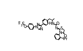 CC(Cc1ccc(-c2ncn(-c3ccc(OC(F)(F)F)cc3)n2)cc1)NC(=O)N=C1SCC(=O)N1c1ccccc1C(C)C